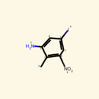 Cc1c(N)cc(I)cc1[N+](=O)[O-]